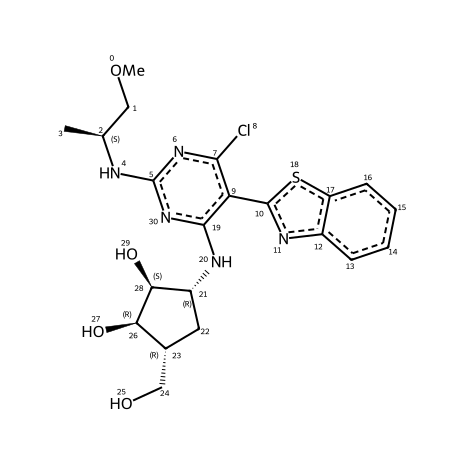 COC[C@H](C)Nc1nc(Cl)c(-c2nc3ccccc3s2)c(N[C@@H]2C[C@H](CO)[C@@H](O)[C@H]2O)n1